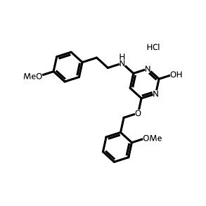 COc1ccc(CCNc2cc(OCc3ccccc3OC)nc(O)n2)cc1.Cl